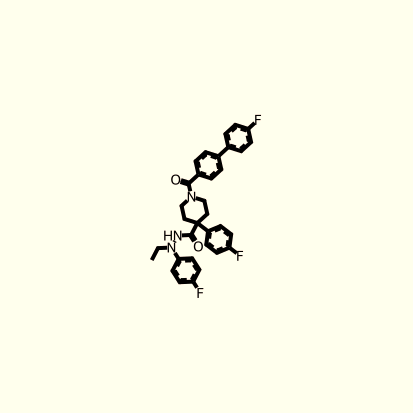 CCN(NC(=O)C1(c2ccc(F)cc2)CCN(C(=O)c2ccc(-c3ccc(F)cc3)cc2)CC1)c1ccc(F)cc1